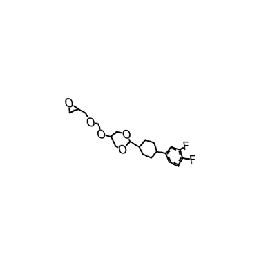 Fc1ccc(C2CCC(C3OCC(OCOCC4CO4)CO3)CC2)cc1F